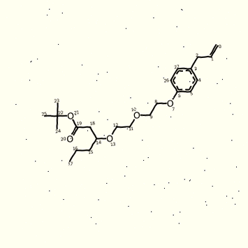 C=CCc1ccc(OCCOCCOC(CCC)CC(=O)OC(C)(C)C)cc1